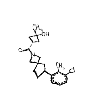 Cc1c(Cl)cccc1C1CCC2(C1)CN(C(=O)[C@H]1C[C@@](C)(O)C1)C2